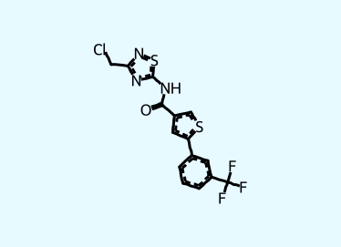 O=C(Nc1nc(CCl)ns1)c1csc(-c2cccc(C(F)(F)F)c2)c1